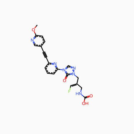 COc1ccc(C#Cc2cccc(-n3cnn(CC(=CF)CNC(=O)O)c3=O)n2)cn1